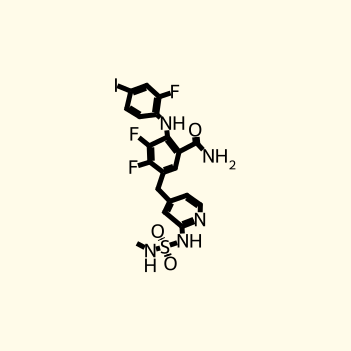 CNS(=O)(=O)Nc1cc(Cc2cc(C(N)=O)c(Nc3ccc(I)cc3F)c(F)c2F)ccn1